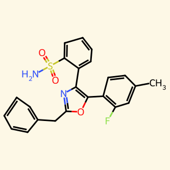 Cc1ccc(-c2oc(Cc3ccccc3)nc2-c2ccccc2S(N)(=O)=O)c(F)c1